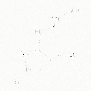 CCCCNC(=O)Nc1nn(CCCC)cc1C(=O)OCC